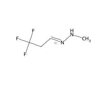 CN/N=C/CC(F)(F)F